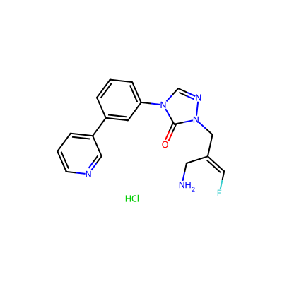 Cl.NC/C(=C\F)Cn1ncn(-c2cccc(-c3cccnc3)c2)c1=O